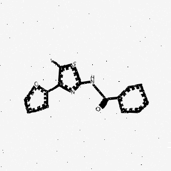 O=C(Nc1nc(-c2ccco2)c(I)s1)c1ccccc1